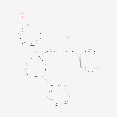 O=C(C=CC1(c2ccc(O)cc2)C=CC=C(c2ccccc2)C1)c1ccccc1